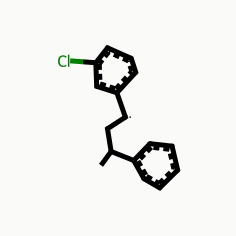 CC(C[CH]c1cccc(Cl)c1)c1ccccc1